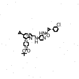 CC(C)(C)OC(=O)N1CCN(c2cc(C3CC3)cn3cc(CNc4ccnc(NC(=O)[C@H]5C[C@@H]5c5cccc(Cl)c5)c4)nc23)CC1